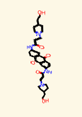 O=C(CCN1CCC(CCO)CC1)Nc1ccc2c(c1)C(=O)c1ccc(NC(=O)CCN3CCC(CCO)CC3)cc1C2=O